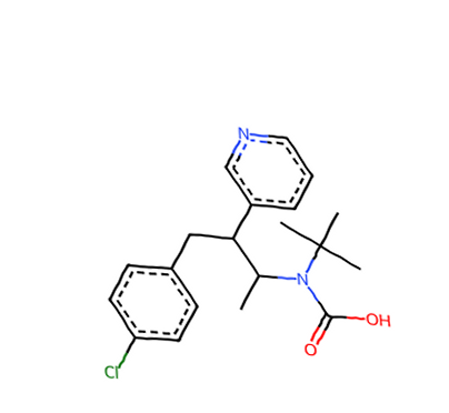 CC(C(Cc1ccc(Cl)cc1)c1cccnc1)N(C(=O)O)C(C)(C)C